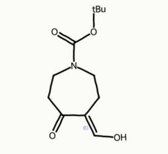 CC(C)(C)OC(=O)N1CCC(=O)/C(=C/O)CC1